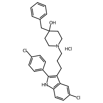 Cl.OC1(Cc2ccccc2)CCN(CCCc2c(-c3ccc(Cl)cc3)[nH]c3ccc(Cl)cc23)CC1